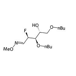 CCCCOC[C@@H](O)[C@@H](OCCCC)[C@H](F)/C=N/OC